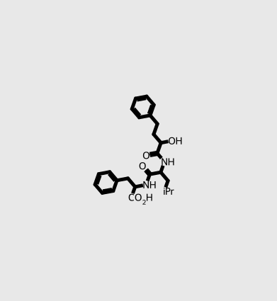 CC(C)CC(NC(=O)C(O)CCc1ccccc1)C(=O)NC(Cc1ccccc1)C(=O)O